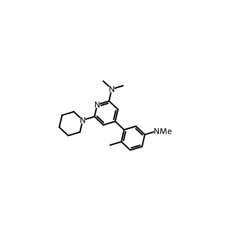 CNc1ccc(C)c(-c2cc(N(C)C)nc(N3CCCCC3)c2)c1